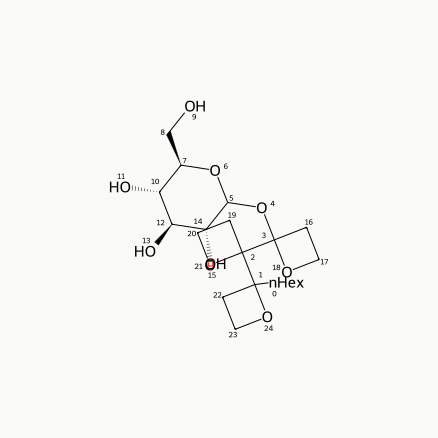 CCCCCCC1(C2(C3(OC4O[C@H](CO)[C@@H](O)[C@H](O)[C@H]4O)CCO3)CCO2)CCO1